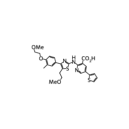 COCCOc1ccc(-c2nc(Nc3ncc(-c4cccs4)cc3C(=O)O)sc2CCOC)cc1C